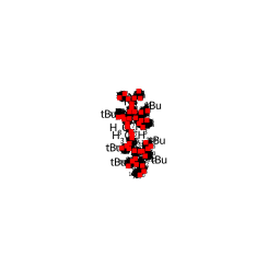 CC(C)(CCC(C)(C)c1cc2c3c(c1)c1cc(C(C)(C)C)ccc1n3-c1cc(-c3nc(-c4ccccc4)nc(-c4ccccc4)n3)cc3c1B2c1cc2ccc4ccccc4c2c2c4ccc(C(C)(C)C)cc4n-3c12)C1=CC2c3cc(C(C)(C)C)ccc3N(c3cc4c5c(c3)-n3c6cc(C(C)(C)C)ccc6c6c7c(ccc8ccccc87)cc(c63)B5c3cc(C(C)(C)C)cc5c6cc(C(C)(C)C)ccc6n-4c35)C2C=C1